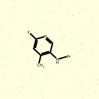 Cc1cc(F)ncc1NC(C)C